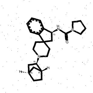 O=C(N[C@H]1CC2(CCN([C@@H]3C[C@@H]4CC[C@@H]3C4)CC2)c2ccccc21)N1CCCC1